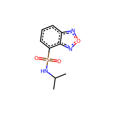 CC(C)NS(=O)(=O)c1cccc2nonc12